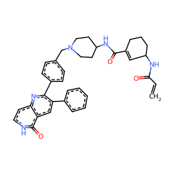 C=CC(=O)NC1C=C(C(=O)NC2CCN(Cc3ccc(-c4nc5cc[nH]c(=O)c5cc4-c4ccccc4)cc3)CC2)CCC1